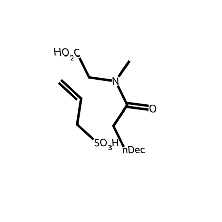 C=CCS(=O)(=O)O.CCCCCCCCCCCC(=O)N(C)CC(=O)O